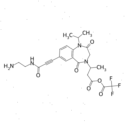 CC(CC(=O)OC(=O)C(F)(F)F)N1CC(=O)N(C(C)C)c2ccc(C#CC(=O)NCCN)cc2C1=O